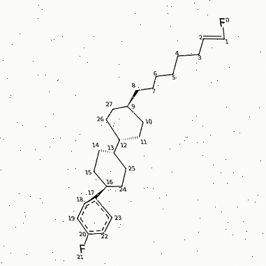 FC=CCCCCCC[C@H]1CC[C@H]([C@H]2CC[C@H](c3ccc(F)cc3)CC2)CC1